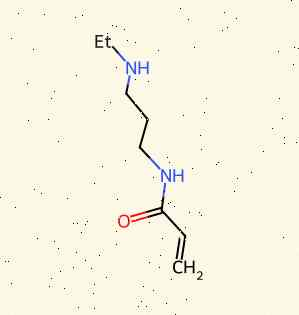 C=CC(=O)NCCCNCC